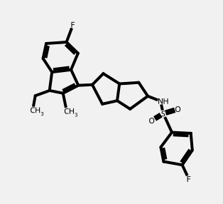 CCC1C(C)=C(C2CC3CC(NS(=O)(=O)c4ccc(F)cc4)CC3C2)c2cc(F)ccc21